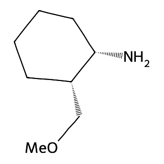 COC[C@@H]1CCCC[C@@H]1N